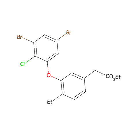 CCOC(=O)Cc1ccc(CC)c(Oc2cc(Br)cc(Br)c2Cl)c1